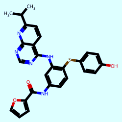 CC(C)c1ccc2c(Nc3cc(NC(=O)c4ccco4)ccc3Sc3ccc(O)cc3)ncnc2n1